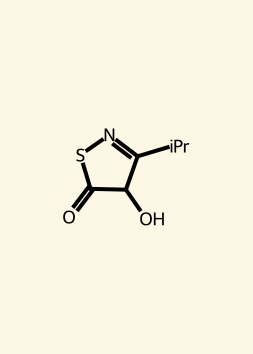 CC(C)C1=NSC(=O)C1O